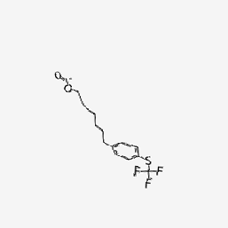 O=[C]OCCCCCCc1ccc(SC(F)(F)F)cc1